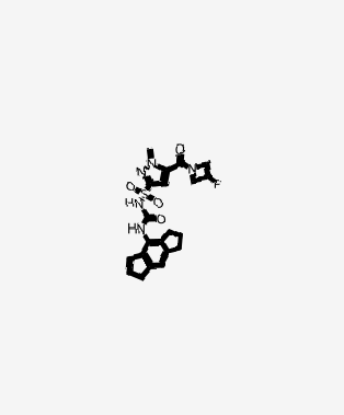 Cn1nc(S(=O)(=O)NC(=O)Nc2c3c(cc4c2CCC4)CCC3)cc1C(=O)N1CC(F)C1